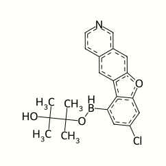 CC(C)(O)C(C)(C)OBc1cc(Cl)cc2oc3cc4cnccc4cc3c12